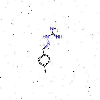 Cc1ccc(/C=N/NC(=N)N)cc1